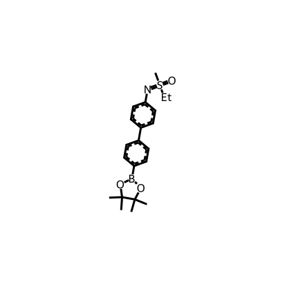 CCS(C)(=O)=Nc1ccc(-c2ccc(B3OC(C)(C)C(C)(C)O3)cc2)cc1